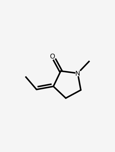 C/C=C1/CCN(C)C1=O